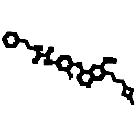 COc1cc2c(Oc3ccc(NC(=O)C(=O)NCCc4ccccc4)cc3F)ccnc2cc1CCCC1CN(C)C1